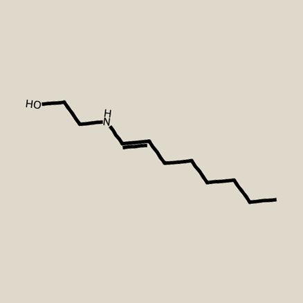 CCCCCCC=CNCCO